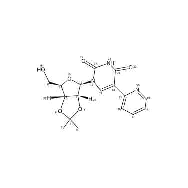 CC1(C)O[C@@H]2[C@H](O1)[C@@H](CO)O[C@H]2n1cc(-c2ccccn2)c(=O)[nH]c1=O